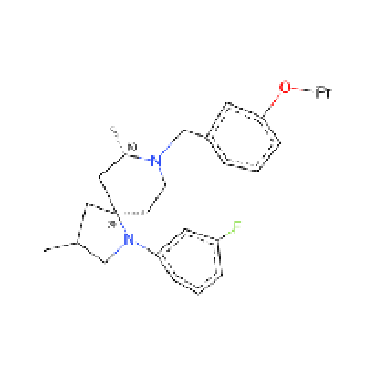 CC1CN(c2cccc(F)c2)[C@@]2(CCN(Cc3cccc(OC(C)C)c3)[C@@H](C)C2)C1